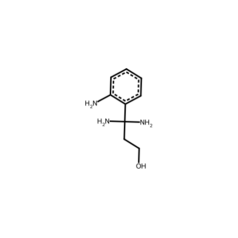 Nc1ccccc1C(N)(N)CCO